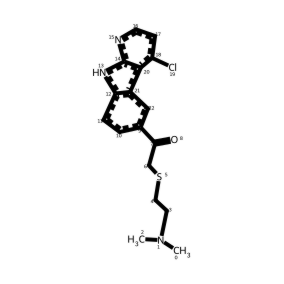 CN(C)CCSCC(=O)c1ccc2[nH]c3nccc(Cl)c3c2c1